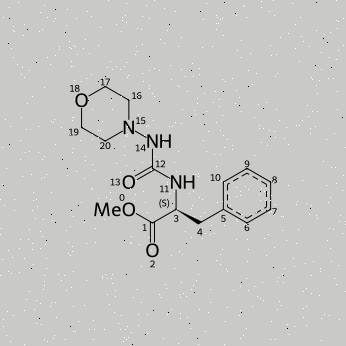 COC(=O)[C@H](Cc1ccccc1)NC(=O)NN1CCOCC1